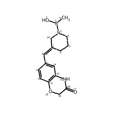 CB(O)N1CCCC(=Cc2ccc3c(c2)NC(=O)CO3)C1